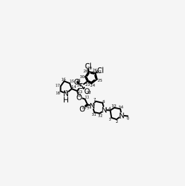 CN1CCC(N2CCN(C(=O)COC(C3CCCCN3)S(=O)(=O)c3ccc(Cl)c(Cl)c3)CC2)CC1